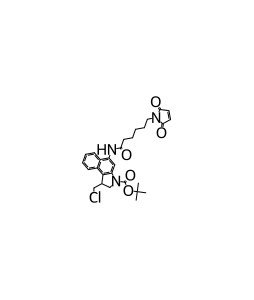 CC(C)(C)OC(=O)N1CC(CCl)c2c1cc(NC(=O)CCCCCN1C(=O)C=CC1=O)c1ccccc21